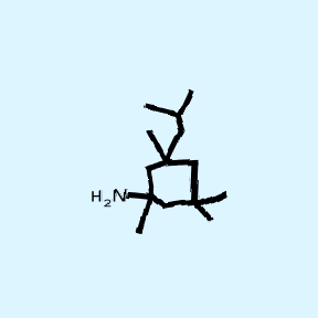 CC(C)CC1(C)CC(C)(C)CC(C)(N)C1